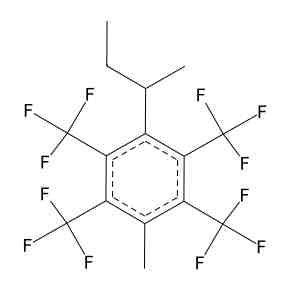 CCC(C)c1c(C(F)(F)F)c(C(F)(F)F)c(C)c(C(F)(F)F)c1C(F)(F)F